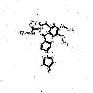 CNC(=O)N1N=C(c2ccc(-c3ccc(Cl)cc3)cc2)c2cc(OC)c(OC)cc2CC1C